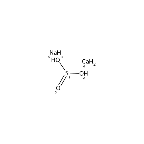 O=[Si](O)O.[CaH2].[NaH]